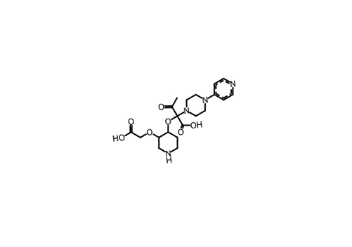 CC(=O)C(OC1CCNCC1OCC(=O)O)(C(=O)O)N1CCN(c2ccncc2)CC1